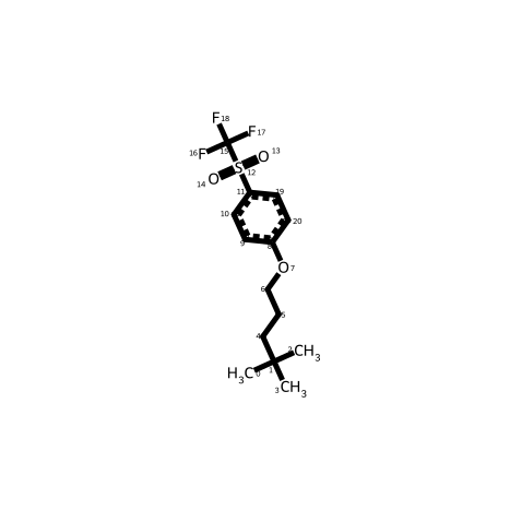 CC(C)(C)CCCOc1ccc(S(=O)(=O)C(F)(F)F)cc1